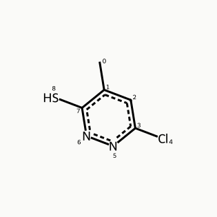 Cc1cc(Cl)nnc1S